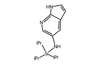 CC(C)[Si](Nc1cnc2[nH]ccc2c1)(C(C)C)C(C)C